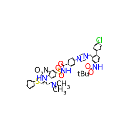 CN(C)CC[C@H](CSc1ccccc1)Nc1ccc(S(=O)(=O)NC(=O)c2ccc(N3CCN(Cc4cc(NC(=O)OC(C)(C)C)ccc4-c4ccc(Cl)cc4)CC3)cc2)cc1[N+](=O)[O-]